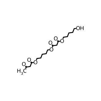 CC(=O)CC(=O)OCCCCCOC(=O)CC(=O)OCCCCCO